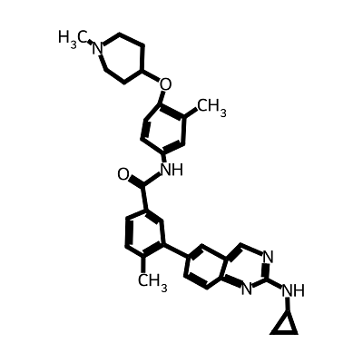 Cc1cc(NC(=O)c2ccc(C)c(-c3ccc4nc(NC5CC5)ncc4c3)c2)ccc1OC1CCN(C)CC1